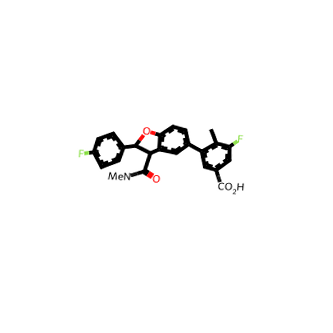 CNC(=O)C1c2cc(-c3cc(C(=O)O)cc(F)c3C)ccc2OC1c1ccc(F)cc1